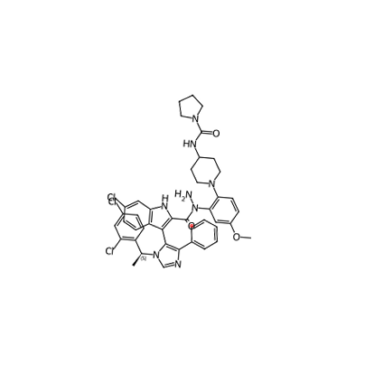 COc1ccc(N2CCC(NC(=O)N3CCCC3)CC2)c(N(N)C(=O)c2[nH]c3cc(Cl)ccc3c2-c2c(-c3ccccc3)ncn2[C@@H](C)c2ccc(Cl)cc2Cl)c1